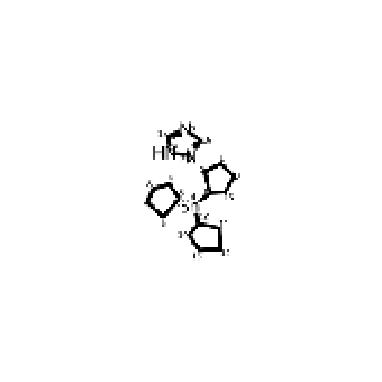 C1CC[CH]([Sn]([CH]2CCCC2)[CH]2CCCC2)C1.c1nc[nH]n1